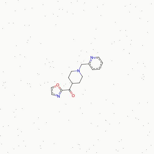 O=C(c1ncco1)C1CCN(Cc2ccccn2)CC1